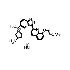 COC[C@@H](C)Oc1cccc2ccc(-c3nnc4ccc([C@H](N5CCC(N)C5)C(F)(F)F)cn34)nc12.Cl.Cl